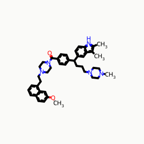 COc1ccc2cccc(CCN3CCN(C(=O)c4ccc(C(CCCN5CCN(C)CC5)c5ccc6[nH]c(C)c(C)c6c5)cc4)CC3)c2c1